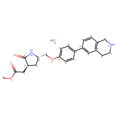 COC(=O)C[C@@H]1C[C@@H](COc2ccc(-c3ccc4c(c3)CCNC4)cc2)NC1=O.Cl